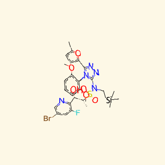 COc1cccc(OC)c1-n1c(-c2ccc(C)o2)nnc1N(CC[Si](C)(C)C)S(=O)(=O)[C@H](C)[C@@H](O)c1ncc(Br)cc1F